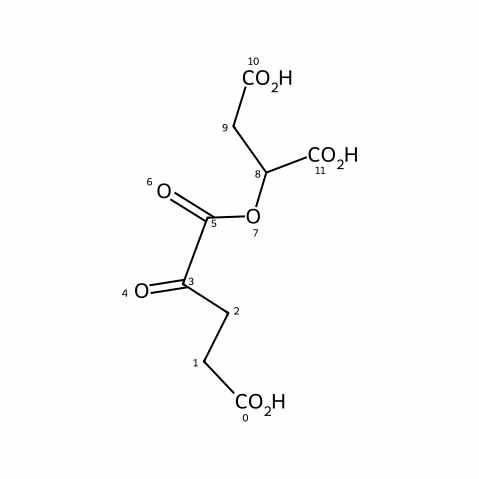 O=C(O)CCC(=O)C(=O)OC(CC(=O)O)C(=O)O